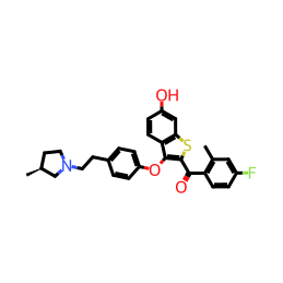 Cc1cc(F)ccc1C(=O)c1sc2cc(O)ccc2c1Oc1ccc(CCN2CC[C@H](C)C2)cc1